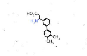 Cc1ccc(-c2cccc([C@@H](N)CC(=O)O)c2)cc1C